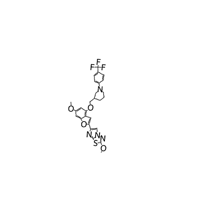 COc1cc(OCC2CCCN(c3ccc(C(F)(F)F)cc3)C2)c2cc(-c3cn4nc(OC)sc4n3)oc2c1